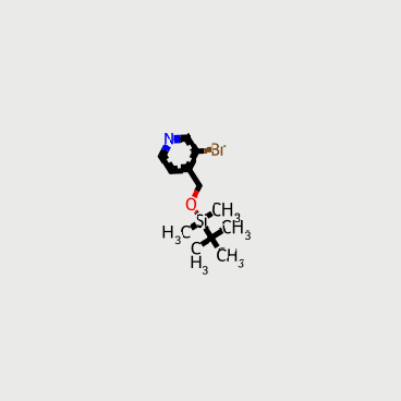 CC(C)(C)[Si](C)(C)OCc1ccncc1Br